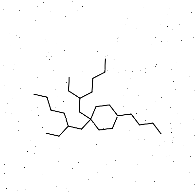 CCCCC1CCC(CC(CC)CCCC)(CC(CC)CCCC)CC1